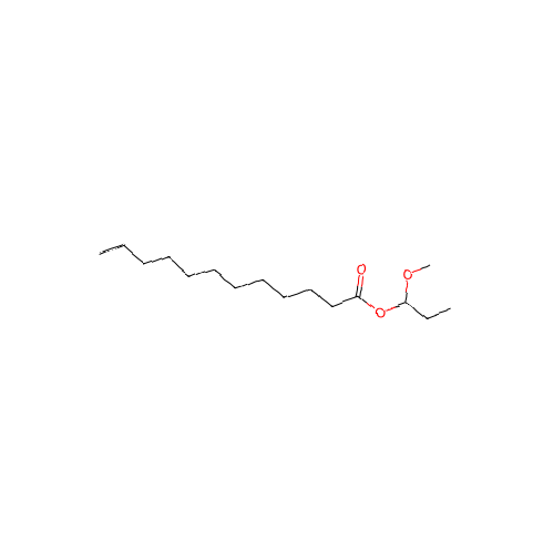 CCCCCCCCCCCC(=O)OC(CC)OC